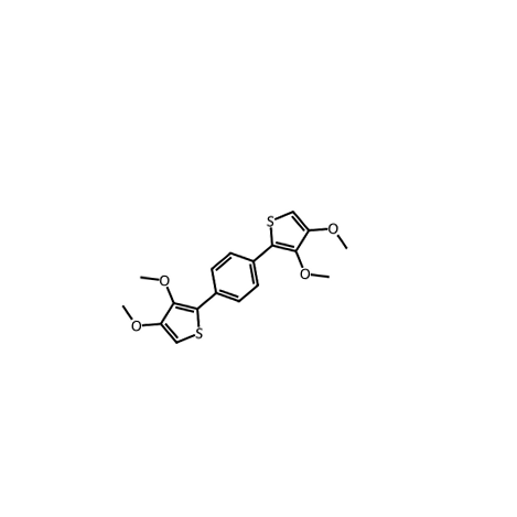 COc1csc(-c2ccc(-c3scc(OC)c3OC)cc2)c1OC